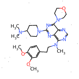 COc1ccc(CCN(C)c2ncnc3c(N4CCOCC4)nc(N4CCC(N(C)C)CC4)nc23)cc1OC